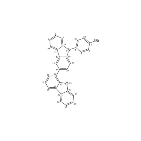 Brc1ccc(-n2c3ccccc3c3cc(-c4cccc5c4oc4ccccc45)ccc32)cc1